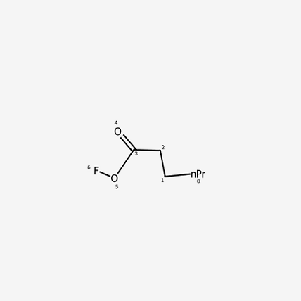 CCCCCC(=O)OF